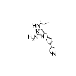 CCC[C@@H](C)Nc1cc(Cc2ccc(C3CCN(C)CC3)cc2)nc(N)n1